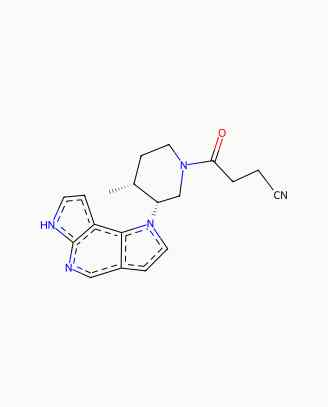 C[C@@H]1CCN(C(=O)CCC#N)C[C@@H]1n1ccc2cnc3[nH]ccc3c21